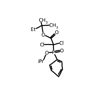 CCC(C)(C)OC(=O)C(Cl)(Cl)P(=O)(OC(C)C)c1ccccc1